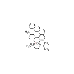 CC1CCC(C(C)C)C(c2ccc3ccc4cc5ccccc5cc4c3c2C2CC(C)CCC2C(C)C)C1